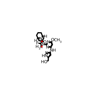 COc1cc(Nc2cc(CO)[nH]n2)nc(N(C)C2C[C@H]3CCC[C@@H](C2)N3C(=O)C(F)F)n1